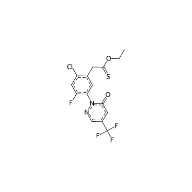 CCOC(=S)Cc1cc(-n2ncc(C(F)(F)F)cc2=O)c(F)cc1Cl